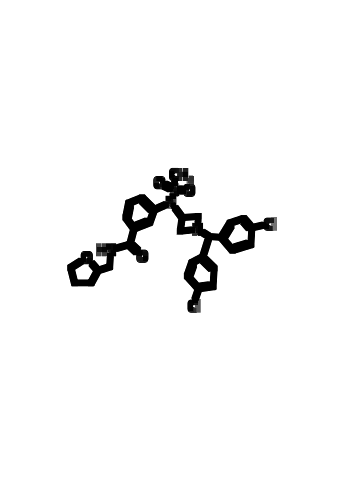 CS(=O)(=O)N(c1cccc(C(=O)NCC2CCCO2)c1)C1CN(C(c2ccc(Cl)cc2)c2ccc(Cl)cc2)C1